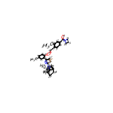 Cc1ccc(OCc2ccc(C(=O)N3CCC3)cc2C)c(-c2csc(N3CC4CC[C@H](C3)[C@@H]4C(=O)O)n2)c1